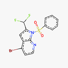 O=S(=O)(c1ccccc1)n1c(C(F)F)cc2c(Br)ccnc21